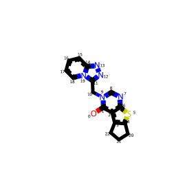 O=c1c2c3c(sc2ncn1Cc1nnc2ccccn12)CCC3